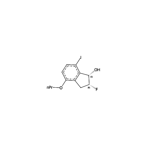 CCCOc1ccc(I)c2c1C[C@@H](F)[C@H]2O